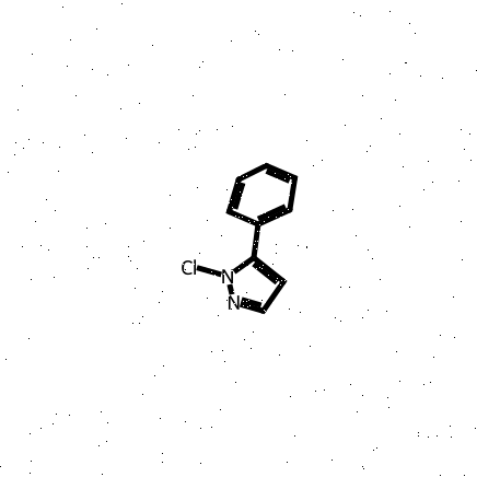 Cln1nccc1-c1ccccc1